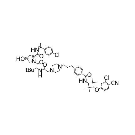 C[C@H](NC(=O)[C@@H]1C[C@@H](O)CN1C(=O)C(NC(=O)CN1CCN(CCCc2ccc(C(=O)NC3C(C)(C)C(Oc4ccc(C#N)c(Cl)c4)C3(C)C)cc2)CC1)C(C)(C)C)c1ccc(Cl)cc1